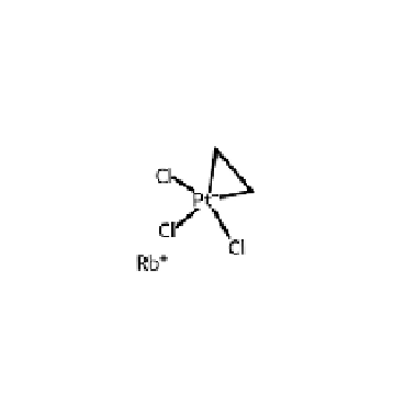 [Cl][Pt-]1([Cl])([Cl])[CH2][CH2]1.[Rb+]